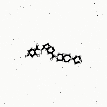 O=C(NC1CCc2ccc(C(=O)N3CCC4(CC3)CCN(c3ccncc3)CC4)cc21)c1ccc(F)cc1Cl